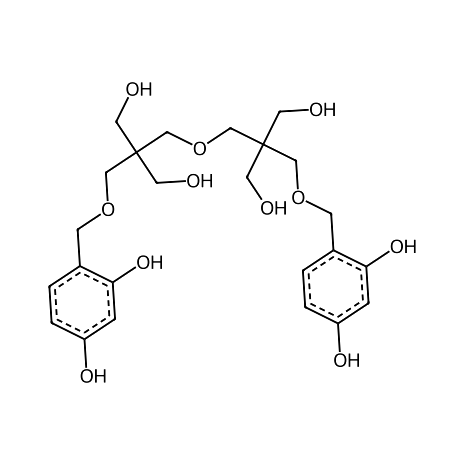 OCC(CO)(COCc1ccc(O)cc1O)COCC(CO)(CO)COCc1ccc(O)cc1O